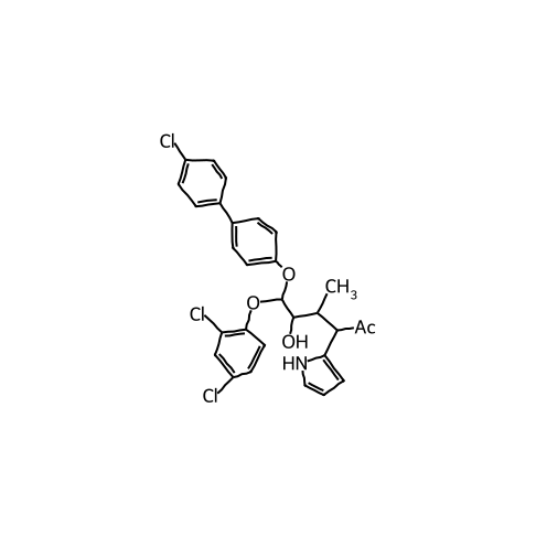 CC(=O)C(c1ccc[nH]1)C(C)C(O)C(Oc1ccc(-c2ccc(Cl)cc2)cc1)Oc1ccc(Cl)cc1Cl